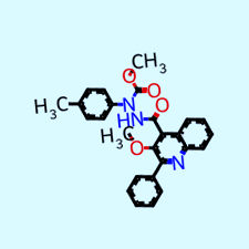 COC(=O)N(NC(=O)c1c(OC)c(-c2ccccc2)nc2ccccc12)c1ccc(C)cc1